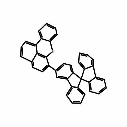 c1ccc2c(c1)Sc1c(-c3ccc4c(c3)-c3ccccc3C43c4ccccc4-c4ccccc43)ccc3cccc-2c13